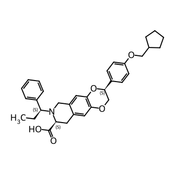 CC[C@@H](c1ccccc1)N1Cc2cc3c(cc2C[C@H]1C(=O)O)OC[C@H](c1ccc(OCC2CCCC2)cc1)O3